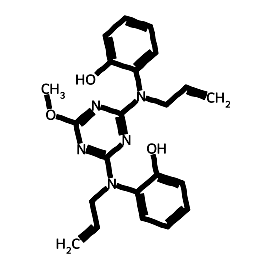 C=CCN(c1nc(OC)nc(N(CC=C)c2ccccc2O)n1)c1ccccc1O